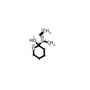 C=C[SiH](C)C1(O)CCCCO1